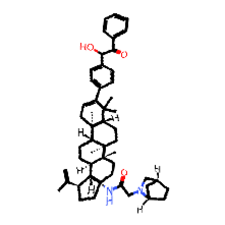 C=C(C)[C@@H]1CC[C@]2(NC(=O)CN3C[C@@H]4CC[C@H]3C4)CC[C@]3(C)[C@H](CC[C@@H]4[C@@]5(C)CC=C(c6ccc(C(O)C(=O)c7ccccc7)cc6)C(C)(C)[C@@H]5CC[C@]43C)[C@@H]12